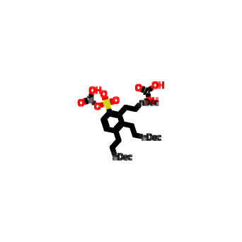 CCCCCCCCCCCCc1ccc(S(=O)(=O)[O][Ti](=[O])[OH])c(CCCCCCCCCCCC)c1CCCCCCCCCCCC.[O]=[Zr]([OH])[OH]